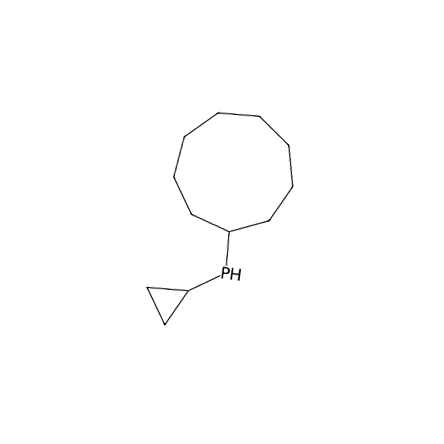 C1CCCCC(PC2CC2)CCC1